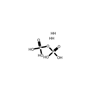 O=P(O)(O)OP(=O)(O)O.[HH].[HH]